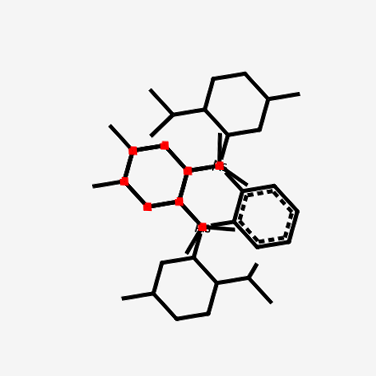 CC1CCC(C(C)C)C([As](c2ccccc2[As](C2CC(C)CCC2C(C)C)C2CC(C)CCC2C(C)C)C2CC(C)CCC2C(C)C)C1